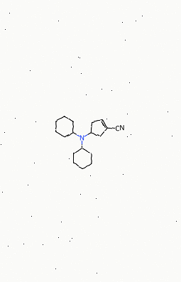 N#CC1=CCC(N(C2CCCCC2)C2CCCCC2)C1